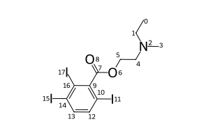 CCN(C)CCOC(=O)c1c(I)ccc(I)c1I